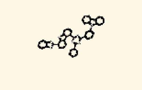 c1ccc(-c2nc(-c3cccc(-n4c5ccccc5c5ccccc54)c3)nc(-c3cccc4oc5c(-c6nc7ccccc7o6)cccc5c34)n2)cc1